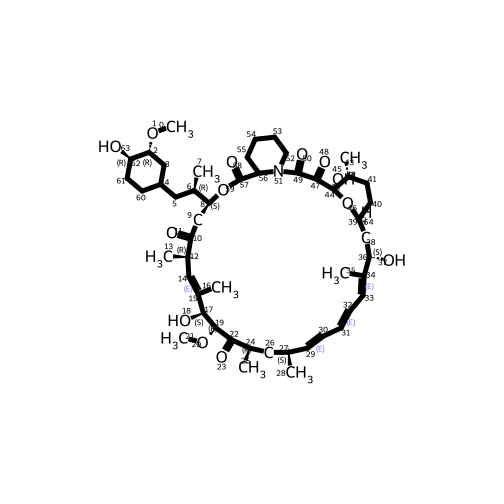 CO[C@@H]1CC(C[C@@H](C)[C@@H]2CC(=O)[C@H](C)/C=C(\C)[C@H](O)[C@@H](OC)C(=O)[C@H](C)C[C@H](C)/C=C/C=C/C=C(\C)[C@@H](O)C[C@@H]3CC[C@@H](C)[C@@](O)(O3)C(=O)C(=O)N3CCCCC3C(=O)O2)CC[C@H]1O